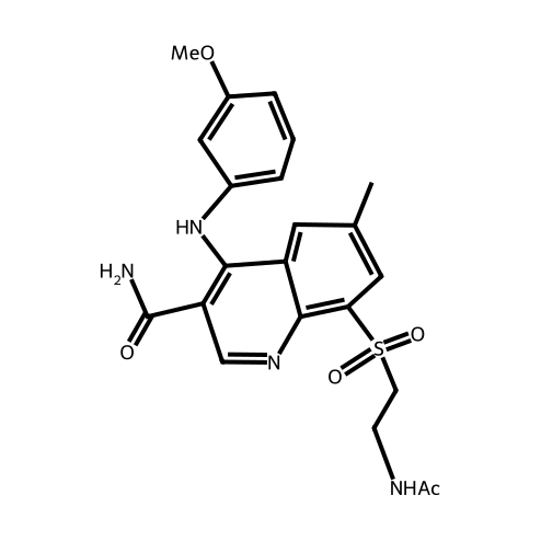 COc1cccc(Nc2c(C(N)=O)cnc3c(S(=O)(=O)CCNC(C)=O)cc(C)cc23)c1